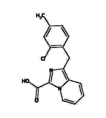 Cc1ccc(Cc2nc(C(=O)O)n3ccccc23)c(Cl)c1